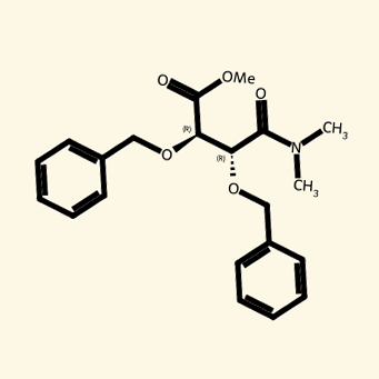 COC(=O)[C@H](OCc1ccccc1)[C@@H](OCc1ccccc1)C(=O)N(C)C